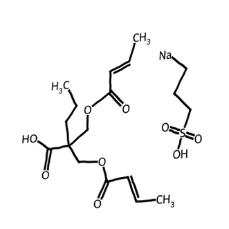 CC=CC(=O)OCC(CCC)(COC(=O)C=CC)C(=O)O.O=S(=O)(O)CC[CH2][Na]